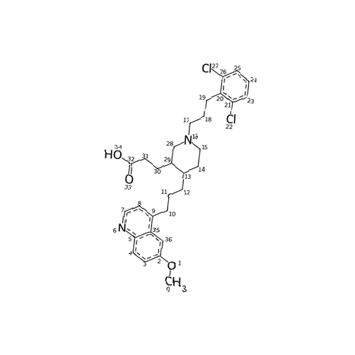 COc1ccc2nccc(CCCC3CCN(CCCc4c(Cl)cccc4Cl)CC3CCC(=O)O)c2c1